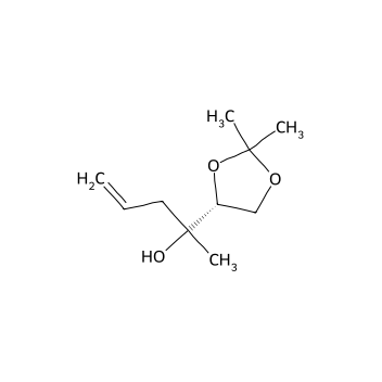 C=CCC(C)(O)[C@H]1COC(C)(C)O1